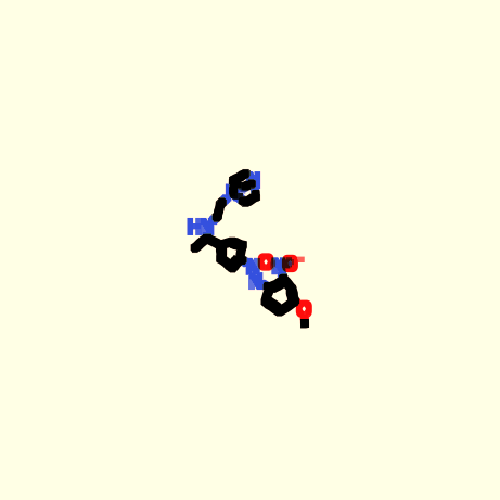 COc1ccc(N=Nc2ccc(C(C)NCC[N+]34CCN(CC3)CC4)cc2)c([N+](=O)[O-])c1